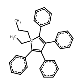 CCC[Si]1(CC)C(c2ccccc2)=C(c2ccccc2)C(c2ccccc2)=C1c1ccccc1